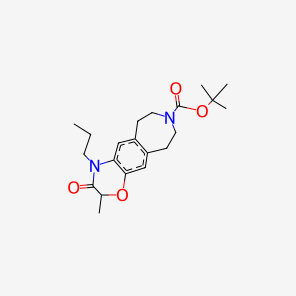 CCCN1C(=O)C(C)Oc2cc3c(cc21)CCN(C(=O)OC(C)(C)C)CC3